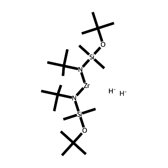 CC(C)(C)O[Si](C)(C)[N]([Zr][N](C(C)(C)C)[Si](C)(C)OC(C)(C)C)C(C)(C)C.[H-].[H-]